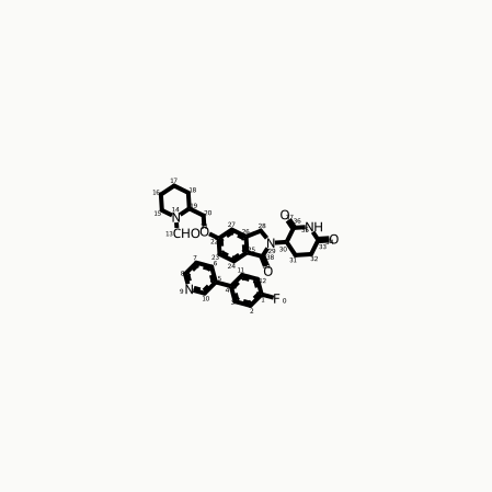 Fc1ccc(-c2cccnc2)cc1.O=CN1CCCCC1COc1ccc2c(c1)CN(C1CCC(=O)NC1=O)C2=O